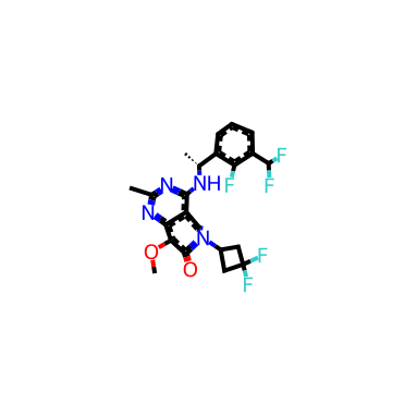 COc1c(=O)n(C2CC(F)(F)C2)cc2c(N[C@H](C)c3cccc(C(F)F)c3F)nc(C)nc12